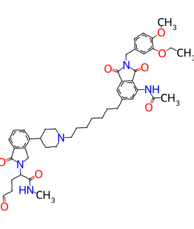 CCOc1cc(CN2C(=O)c3cc(CCCCCCCN4CCC(c5cccc6c5CN(C(CCC=O)C(=O)NC)C6=O)CC4)cc(NC(C)=O)c3C2=O)ccc1OC